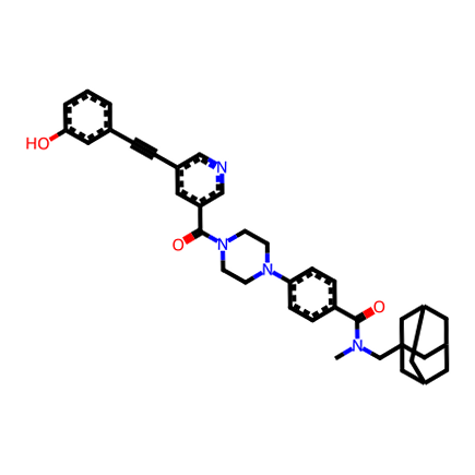 CN(CC12CC3CC(CC(C3)C1)C2)C(=O)c1ccc(N2CCN(C(=O)c3cncc(C#Cc4cccc(O)c4)c3)CC2)cc1